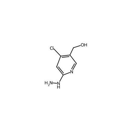 NNc1cc(Cl)c(CO)cn1